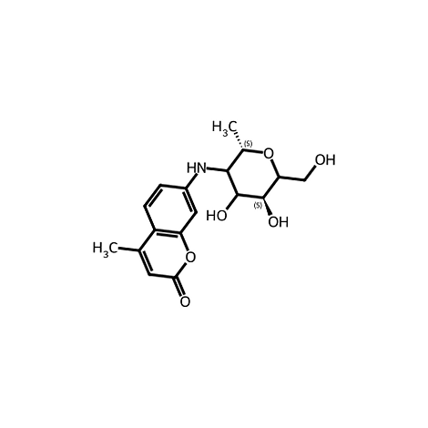 Cc1cc(=O)oc2cc(NC3C(O)[C@H](O)C(CO)O[C@H]3C)ccc12